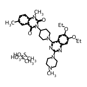 CCOc1cc2nc(N3CCN(C)CC3)nc(N3CCC(n4c(=O)c5cc(C)ccc5n(C)c4=O)CC3)c2cc1OCC.CS(=O)(=O)O.CS(=O)(=O)O